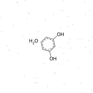 O.Oc1cccc(O)c1